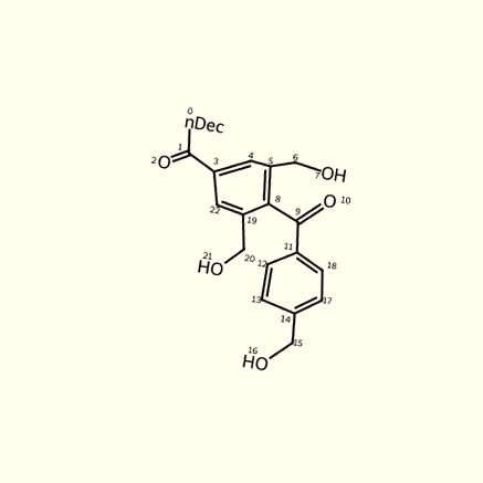 CCCCCCCCCCC(=O)c1cc(CO)c(C(=O)c2ccc(CO)cc2)c(CO)c1